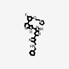 Fc1cc(OCCN2CCCC2)cc(-c2ccnc3[nH]c(-c4n[nH]c5ncc(-c6cncc(CNCc7ccccc7)c6)cc45)cc23)c1